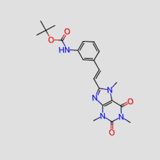 Cn1c(=O)c2c(nc(C=Cc3cccc(NC(=O)OC(C)(C)C)c3)n2C)n(C)c1=O